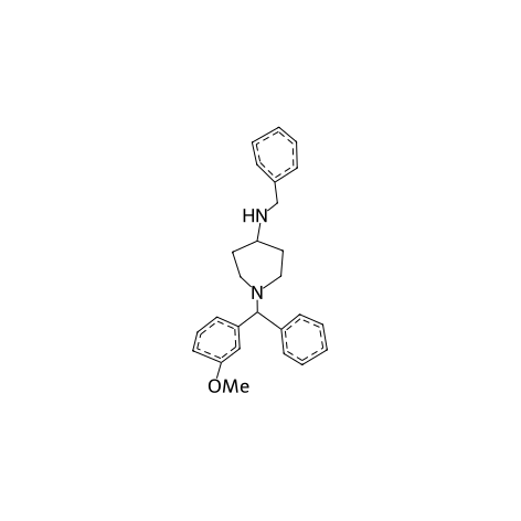 COc1cccc(C(c2ccccc2)N2CCC(NCc3ccccc3)CC2)c1